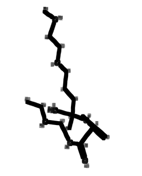 C=C(OC(C)(O)CCCOCCOC)C(=O)OCOCC